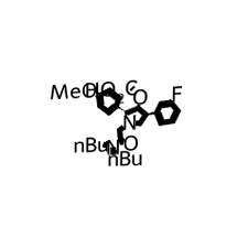 CCCCN(CCCC)C(=O)CN1C[C@H](c2cccc(F)c2)[C@H](OC(=O)O)[C@H]1c1ccc(OC)cc1